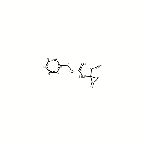 CC(C)CC1(NC(=O)OCc2ccccc2)CO1